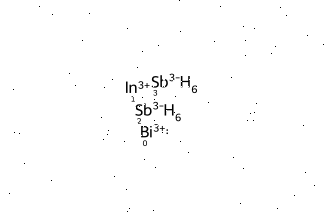 [Bi+3].[In+3].[SbH6-3].[SbH6-3]